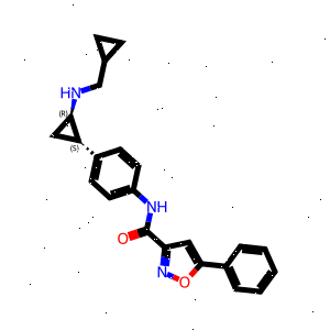 O=C(Nc1ccc([C@@H]2C[C@H]2NCC2CC2)cc1)c1cc(-c2ccccc2)on1